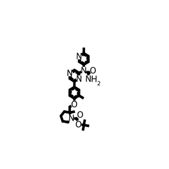 Cc1ccc(N(C(N)=O)c2cncc(-c3ccc(OCC4(C)CCCCN4C(=O)OC(C)(C)C)c(C)c3)n2)cn1